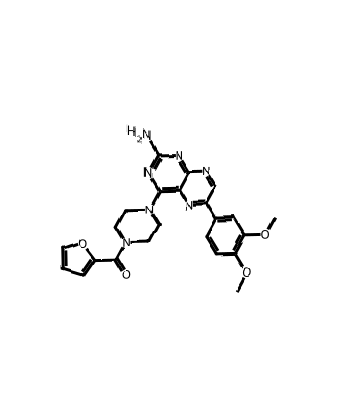 COc1ccc(-c2cnc3nc(N)nc(N4CCN(C(=O)c5ccco5)CC4)c3n2)cc1OC